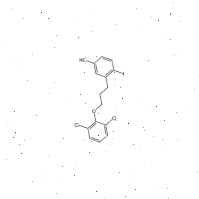 N#Cc1ccc(I)c(CCCOc2c(Cl)cccc2Cl)c1